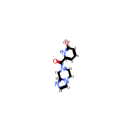 O=C(c1cccc(Br)n1)N1CCn2ccnc2C1